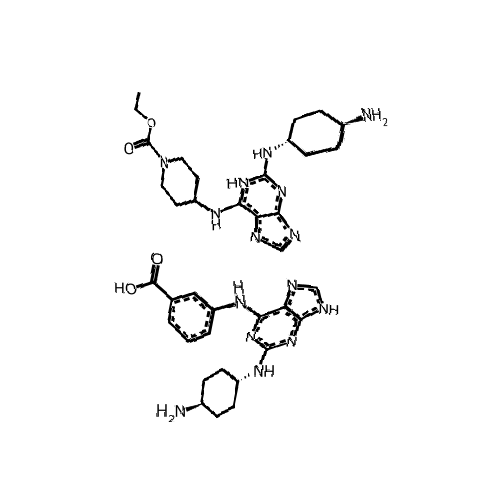 CCOC(=O)N1CCC(Nc2[nH]c(N[C@H]3CC[C@H](N)CC3)nc3ncnc2-3)CC1.N[C@H]1CC[C@H](Nc2nc(Nc3cccc(C(=O)O)c3)c3nc[nH]c3n2)CC1